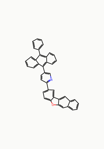 c1ccc(-c2c3ccccc3c(-c3ccc(-c4ccc5oc6cc7ccccc7cc6c5c4)nc3)c3ccccc23)cc1